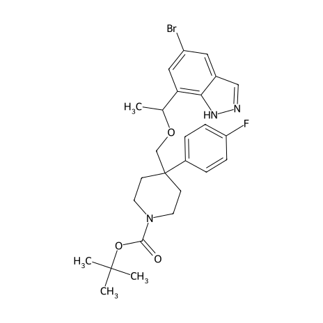 CC(OCC1(c2ccc(F)cc2)CCN(C(=O)OC(C)(C)C)CC1)c1cc(Br)cc2cn[nH]c12